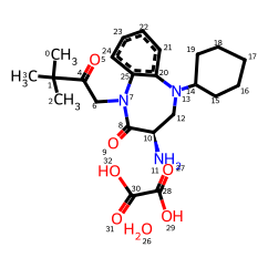 CC(C)(C)C(=O)CN1C(=O)[C@H](N)CN(C2CCCCC2)c2ccccc21.O.O=C(O)C(=O)O